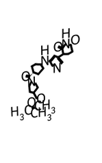 CC(C)(C)OC(=O)C1CCN(C(=O)[C@H]2CC[C@H](Nc3cncc(C4CCC(=O)NC4=O)c3)CC2)CC1